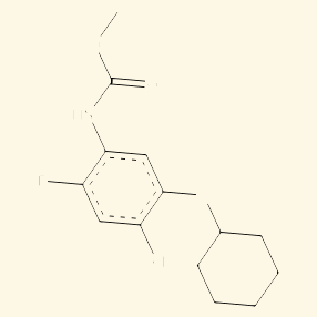 COC(=O)Nc1cc(OC2CCCCC2)c(Cl)cc1F